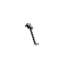 CC(=O)N1CCN(C(=O)CCCCCCCCCCCCCCCS)CC1